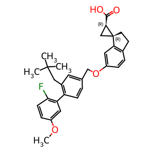 COc1ccc(F)c(-c2ccc(COc3ccc4c(c3)[C@]3(CC4)C[C@H]3C(=O)O)cc2CC(C)(C)C)c1